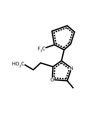 Cc1nc(-c2ccccc2C(F)(F)F)c(CCC(=O)O)o1